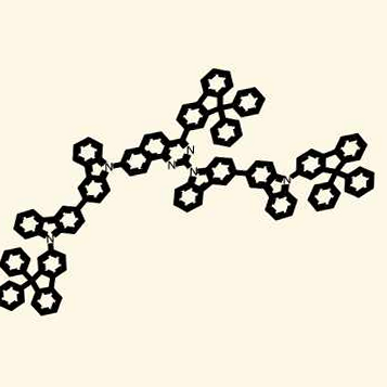 c1ccc(C2(c3ccccc3)c3ccccc3-c3ccc(-c4nc(-n5c6ccccc6c6cc(-c7ccc8c(c7)c7ccccc7n8-c7ccc8c(c7)C(c7ccccc7)(c7ccccc7)c7ccccc7-8)ccc65)nc5c4ccc4cc(-n6c7ccccc7c7cc(-c8ccc9c(c8)c8ccccc8n9-c8ccc9c(c8)C(c8ccccc8)(c8ccccc8)c8ccccc8-9)ccc76)ccc45)cc32)cc1